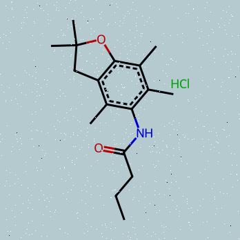 CCCC(=O)Nc1c(C)c(C)c2c(c1C)CC(C)(C)O2.Cl